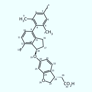 Cc1cc(I)cc(C)c1-c1ccc(F)c2c1CC[C@H]2Oc1ccc2c(c1)OC[C@H]2CC(=O)O